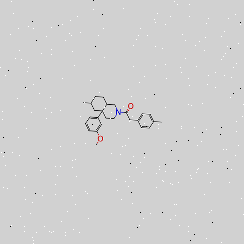 COc1cccc(C23CCN(C(=O)Cc4ccc(C)cc4)CC2CCC(C)C3)c1